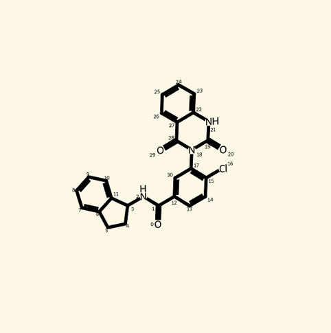 O=C(NC1CCc2ccccc21)c1ccc(Cl)c(-n2c(=O)[nH]c3ccccc3c2=O)c1